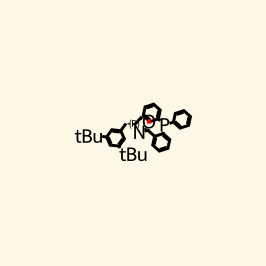 CC(C)(C)c1cc(C[C@@H]2COC(c3ccccc3P(c3ccccc3)c3ccccc3)=N2)cc(C(C)(C)C)c1